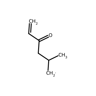 [CH2]C(C)CC(=O)C=C